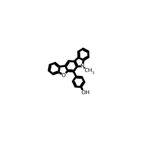 Cn1c2ccccc2c2cc3c(oc4ccccc43)c(-c3ccc(O)cc3)c21